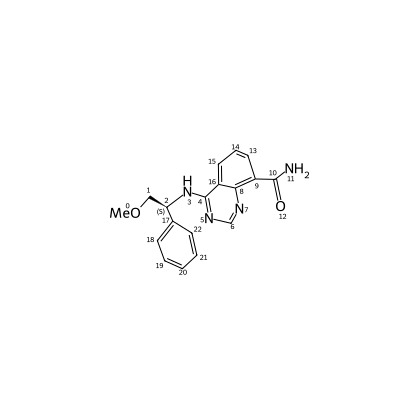 COC[C@@H](Nc1ncnc2c(C(N)=O)cccc12)c1ccccc1